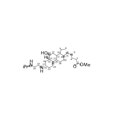 COC(=O)CC[C@@H](C)[C@H]1CCC2C3C[C@H](O)[C@H]4C[C@@H](NCCNC(C)C)CC[C@]4(C)C3CC[C@@]21C